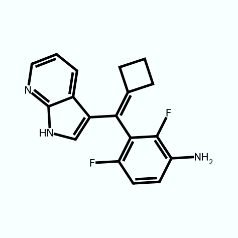 Nc1ccc(F)c(C(=C2CCC2)c2c[nH]c3ncccc23)c1F